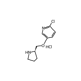 Cl.Clc1ccc(OC[C@H]2CCCN2)cn1